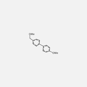 COCc1ccc(-c2ccc(OC)cc2)cc1